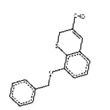 O=CC1=Cc2cccc(OCc3ccccc3)c2SC1